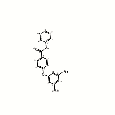 CC(C)(C)c1cc(Oc2ccc(C(=O)Cc3cccnc3)cc2)cc(C(C)(C)C)c1